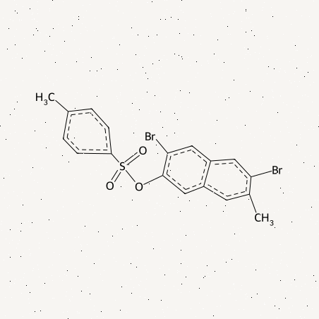 Cc1ccc(S(=O)(=O)Oc2cc3cc(C)c(Br)cc3cc2Br)cc1